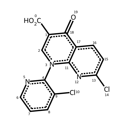 O=C(O)c1cn(-c2ncccc2Cl)c2nc(Cl)ccc2c1=O